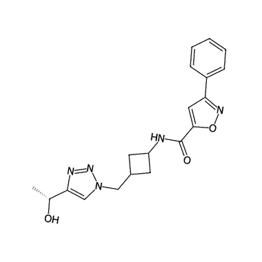 C[C@@H](O)c1cn(CC2CC(NC(=O)c3cc(-c4ccccc4)no3)C2)nn1